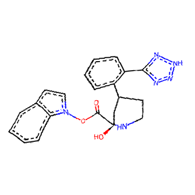 O=C(On1ccc2ccccc21)[C@@]1(O)NCCC1c1ccccc1-c1nn[nH]n1